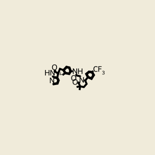 CC1(C)CCC(c2ccc(C(F)(F)F)cc2)N(CC(=O)Nc2ccc3c(c2)C[C@@]2(C3)C(=O)Nc3ncccc32)C1=O